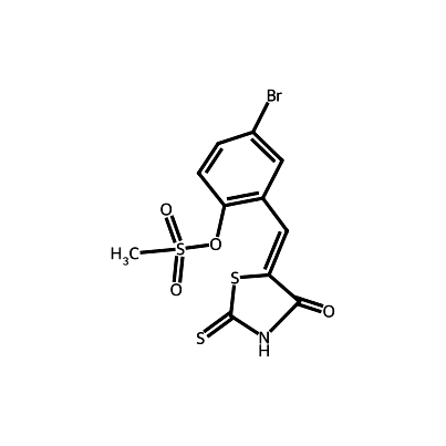 CS(=O)(=O)Oc1ccc(Br)cc1C=C1SC(=S)NC1=O